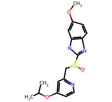 COc1ccc2c(c1)[N]C([S+]([O-])Cc1cc(OC(C)C)ccn1)=N2